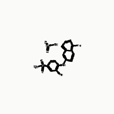 NS(=O)(=O)c1ccc(Nc2ccc3c(O)cccc3c2)c(O)c1.O=[SH](=O)O